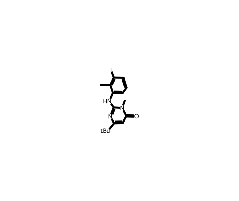 Cc1c(I)cccc1Nc1nc(C(C)(C)C)cc(=O)n1C